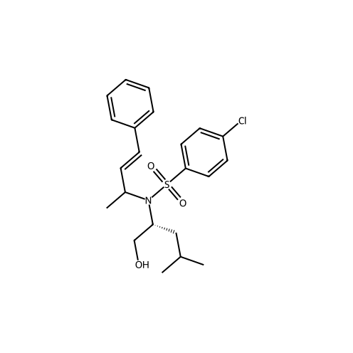 CC(C)C[C@H](CO)N(C(C)/C=C/c1ccccc1)S(=O)(=O)c1ccc(Cl)cc1